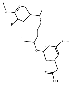 COC1=CC(CC(=O)O)CC(OC(C)CCCC(C)C2CC=C(OC)C(F)C2)C1